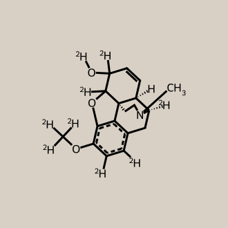 [2H]OC1([2H])C=C[C@H]2[C@@]3([2H])Cc4c([2H])c([2H])c(OC([2H])([2H])[2H])c5c4[C@@]2(CCN3C)C1([2H])O5